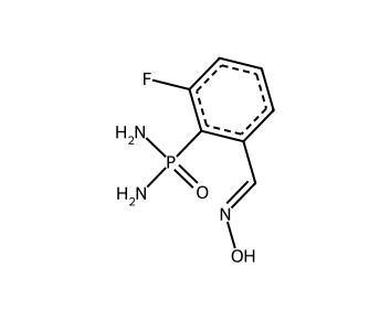 NP(N)(=O)c1c(F)cccc1/C=N/O